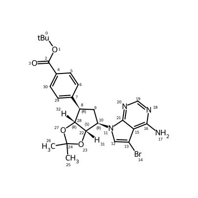 CC(C)(C)OC(=O)c1ccc([C@H]2C[C@@H](n3cc(Br)c4c(N)ncnc43)[C@@H]3OC(C)(C)O[C@@H]32)cc1